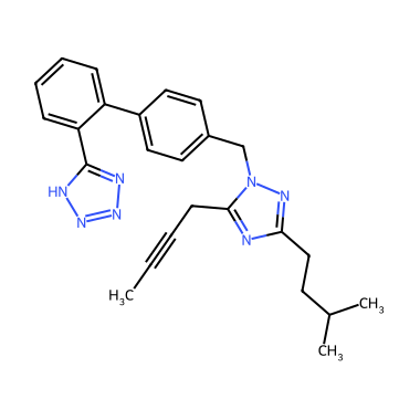 CC#CCc1nc(CCC(C)C)nn1Cc1ccc(-c2ccccc2-c2nnn[nH]2)cc1